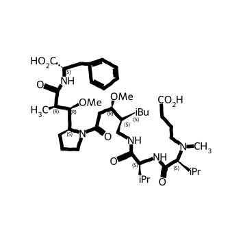 CC[C@H](C)[C@@H](CNC(=O)[C@@H](NC(=O)[C@H](C(C)C)N(C)CCCC(=O)O)C(C)C)[C@@H](CC(=O)N1CCC[C@H]1[C@H](OC)[C@@H](C)C(=O)N[C@@H](Cc1ccccc1)C(=O)O)OC